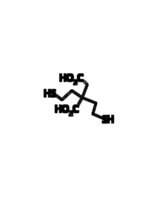 O=C(O)CC(CCS)(CCS)C(=O)O